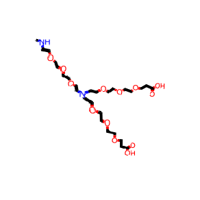 CNCCOCCOCCOCCN(CCOCCOCCOCCC(=O)O)CCOCCOCCOCCC(=O)O